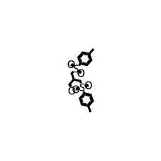 Cc1ccc(S(=O)(=O)CC(C=O)CS(=O)(=O)c2ccc(C)cc2)cc1